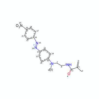 C=C(C)C(=O)NCCN(CC)c1ccc(/N=N/c2ccc([N+](=O)[O-])cc2)cc1